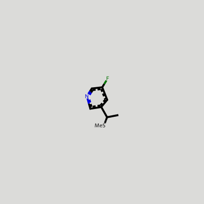 CSC(C)c1cncc(F)c1